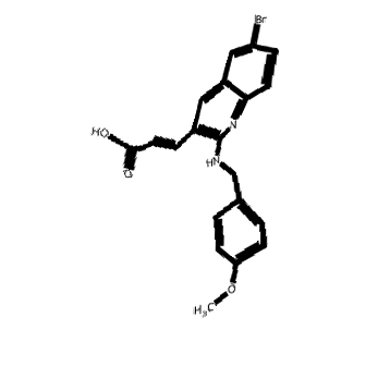 COc1ccc(CNc2nc3ccc(Br)cc3cc2C=CC(=O)O)cc1